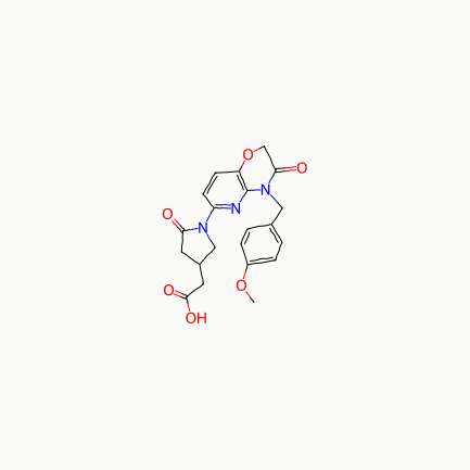 COc1ccc(CN2C(=O)COc3ccc(N4CC(CC(=O)O)CC4=O)nc32)cc1